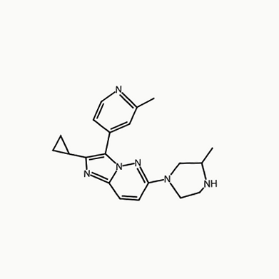 Cc1cc(-c2c(C3CC3)nc3ccc(N4CCNC(C)C4)nn23)ccn1